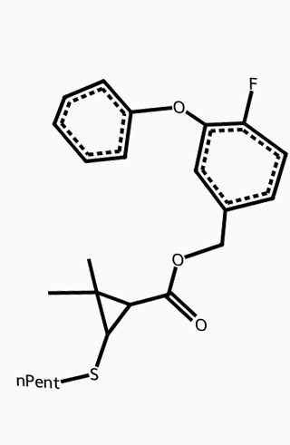 CCCCCSC1C(C(=O)OCc2ccc(F)c(Oc3ccccc3)c2)C1(C)C